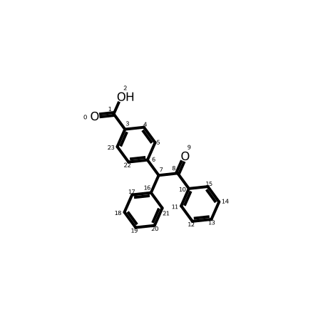 O=C(O)c1ccc(C(C(=O)c2ccccc2)c2ccccc2)cc1